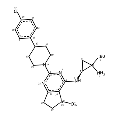 CC(C)(C)C1(N)C[C@@H]1Nc1nc(N2CCC(c3ccc(Cl)cc3)CC2)nc2c1[S+]([O-])CC2